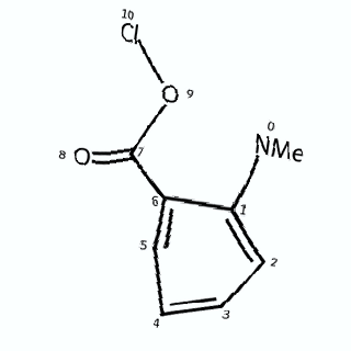 CNc1ccccc1C(=O)OCl